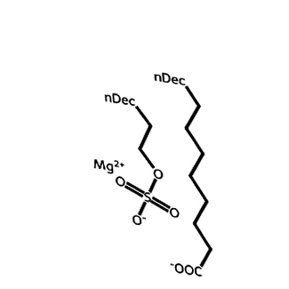 CCCCCCCCCCCCCCCCCC(=O)[O-].CCCCCCCCCCCCOS(=O)(=O)[O-].[Mg+2]